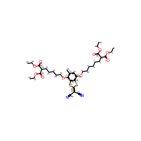 CCOC(=O)C(CCCCCCOc1cc(C)c(OCCCCCC(C(=O)OCC)C(=O)OCC)c2c1SC(=C(C#N)C#N)S2)C(=O)OCC